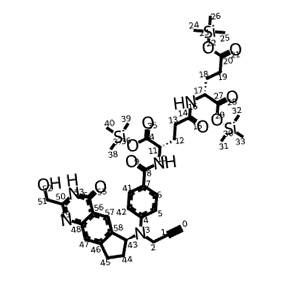 C#CCN(c1ccc(C(=O)N[C@@H](CCC(=O)N[C@H](CCC(=O)O[Si](C)(C)C)C(=O)O[Si](C)(C)C)C(=O)O[Si](C)(C)C)cc1)[C@H]1CCc2cc3nc(CO)[nH]c(=O)c3cc21